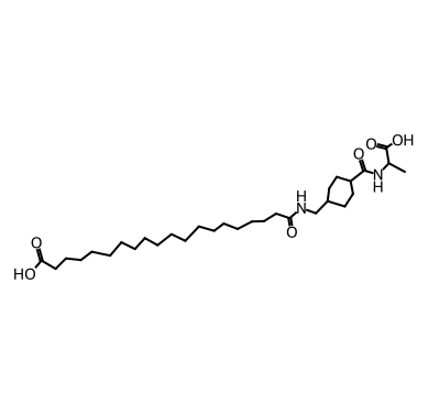 CC(NC(=O)C1CCC(CNC(=O)CCCCCCCCCCCCCCCCCCC(=O)O)CC1)C(=O)O